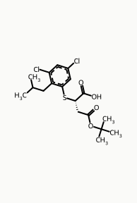 CC(C)Cc1c(Cl)cc(Cl)cc1S[C@@H](CC(=O)OC(C)(C)C)C(=O)O